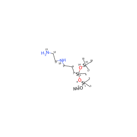 CO[Si](C)(C)O[Si](C)(CCCNCCN)O[Si](C)(C)C